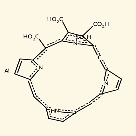 O=C(O)c1c(C(=O)O)c2c(C(=O)O)c3nc(cc4ccc(cc5nc(cc1n2C(=O)O)C=C5)[nH]4)C=C3.[Al]